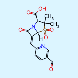 CC1(C)[C@H](C(=O)O)N2C(=O)/C(=C/c3ccc(C=O)cn3)[C@H]2S1(=O)=O